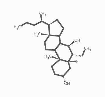 CCC[C@@H](C)[C@H]1CCC2C3C(CC[C@@]21C)[C@@]1(C)CC[C@@H](O)C[C@H]1[C@@H](CC)[C@@H]3O